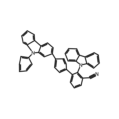 N#Cc1cccc(-c2ccc(-c3ccc4c5ccccc5n(-c5ccccc5)c4c3)cc2)c1-n1c2ccccc2c2ccccc21